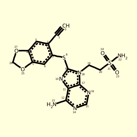 C#Cc1cc2c(cc1Sc1nc3c(N)ncnc3n1CCS(N)(=O)=O)OCO2